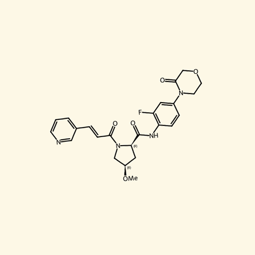 CO[C@@H]1C[C@H](C(=O)Nc2ccc(N3CCOCC3=O)cc2F)N(C(=O)C=Cc2cccnc2)C1